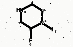 FC1CNCCN1I